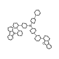 c1ccc(-c2ccc(N(c3ccc(-c4cccc(-c5cccc6c5oc5ccccc56)c4)cc3)c3ccc(-c4ccccc4-c4ccccc4-n4c5ccccc5c5ccccc54)cc3)cc2)cc1